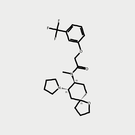 CN(C(=O)COc1cccc(C(F)(F)F)c1)[C@H]1CC[C@]2(CCCO2)C[C@@H]1N1CCCC1